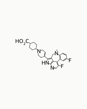 CN1Cc2c(C3=CCN(C4CCC(C(=O)O)CC4)CC3)[nH]c3ncc(F)c(c23)-c2cc(F)ccc21